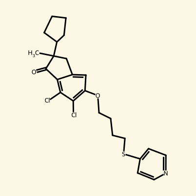 CC1(C2CCCC2)Cc2cc(OCCCCSc3ccncc3)c(Cl)c(Cl)c2C1=O